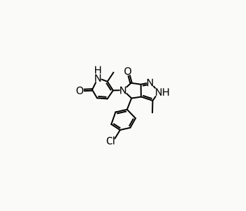 Cc1[nH]c(=O)ccc1N1C(=O)c2n[nH]c(C)c2C1c1ccc(Cl)cc1